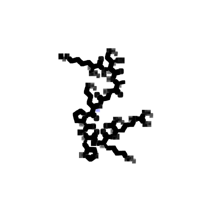 C[C@H](NC(=O)[C@@H](NC(=O)[C@@H](N)CCCCN)[C@@H](O)CN)C(=O)NCC(=O)/N=C(\CCCN)C(=O)N1CCC[C@H]1C(=O)N[C@@H](Cc1cnc[nH]1)C(=O)N[C@@H](CCCCN)C(=O)N[C@H](CCCNC(=N)N)C(N)=O